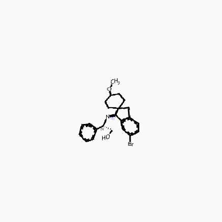 COC1CCC2(CC1)Cc1ccc(Br)cc1/C2=N\[C@H](CO)c1ccccc1